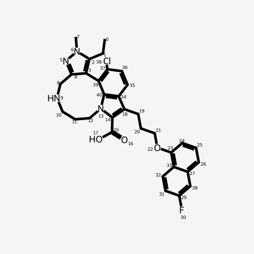 CCc1c2c(nn1C)CNCCCn1c(C(=O)O)c(CCCOc3cccc4cc(F)ccc34)c3ccc(Cl)c-2c31